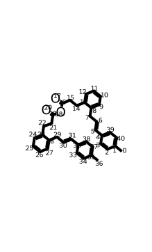 Cc1ccc(C=CCc2ccccc2CCC(=O)OC(=O)CCc2ccccc2CC=Cc2ccc(C)cc2)cc1